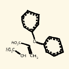 C=CC(=O)O.O=C(O)O.c1ccc(Oc2ccccc2)cc1